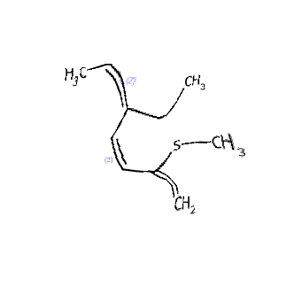 C=C(/C=C\C(=C/C)CC)SC